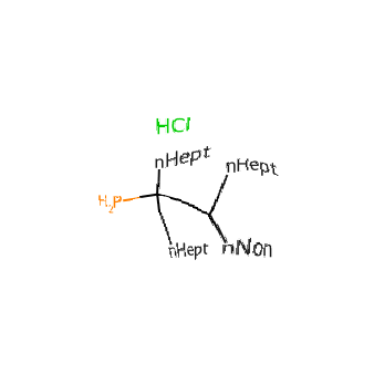 CCCCCCCCCC(CCCCCCC)C(P)(CCCCCCC)CCCCCCC.Cl